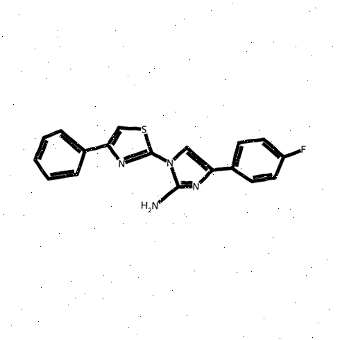 Nc1nc(-c2ccc(F)cc2)cn1-c1nc(-c2ccccc2)cs1